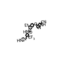 CC[C@H]1CN(C(=O)Nc2ccc(CN3CCNCC3)c(C(F)(F)F)c2)Cc2cc(Oc3ccnc4[nH]c(C#N)cc34)ccc21